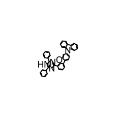 c1ccc(C2=NC(c3cccc4c3oc3cc(-n5c6ccccc6c6ccccc65)ccc34)=NC(c3ccccc3)N2)cc1